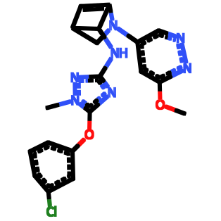 COc1cc(N2CC3C=C2C3Nc2nc(Oc3cccc(Cl)c3)n(C)n2)cnn1